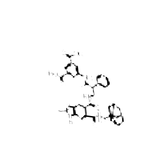 Cc1nc2cc(C(=O)NCC(C(=O)Nc3cc(C(=O)O)cc(C(=O)O)c3)c3ccccc3)c(C(=O)NCC34CC5CC(CC(C5)C3)C4)cc2[nH]1